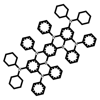 c1ccc(N2c3ccccc3B3c4cc5c(cc4N(c4ccccc4)c4cc(N(C6CCCCC6)C6CCCCC6)cc2c43)N(c2ccccc2)c2cc(N(C3CCCCC3)C3CCCCC3)cc3c2B5c2ccccc2N3c2ccccc2)cc1